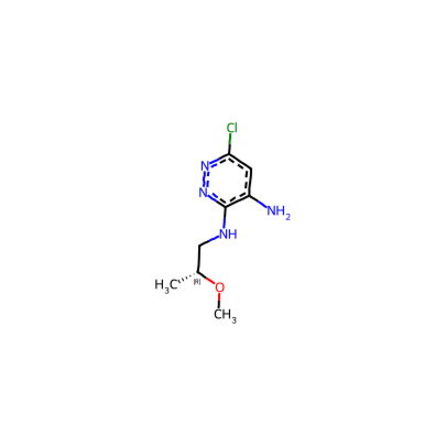 CO[C@H](C)CNc1nnc(Cl)cc1N